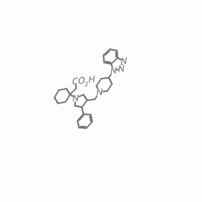 O=C(O)CC1(N2CC(CN3CCC(n4nnc5ccccc54)CC3)C(c3ccccc3)C2)CCCCC1